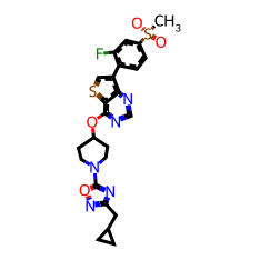 CS(=O)(=O)c1ccc(-c2csc3c(OC4CCN(c5nc(CC6CC6)no5)CC4)ncnc23)c(F)c1